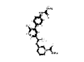 CNC(=O)N1CCCC(C[C@H](N)c2cc(-c3ccc(NC(=O)OC)cc3)c(Cl)nn2)C1